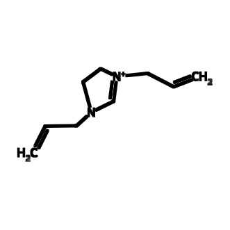 C=CCN1C=[N+](CC=C)CC1